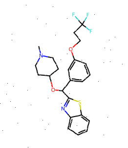 CN1CCC(OC(c2cccc(OCCC(F)(F)F)c2)c2nc3ccccc3s2)CC1